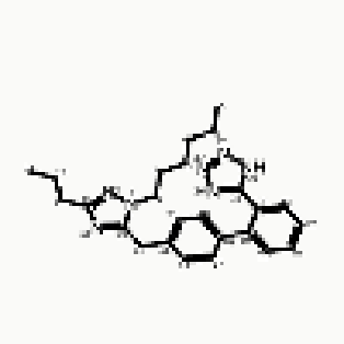 CCCCCCn1nc(CCC)nc1Cc1ccc(-c2ccccc2-c2nnn[nH]2)cc1